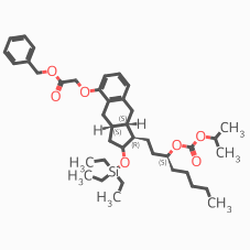 CCCCC[C@@H](CC[C@H]1C(O[Si](CC)(CC)CC)C[C@@H]2Cc3c(cccc3OCC(=O)OCc3ccccc3)C[C@@H]21)OC(=O)OC(C)C